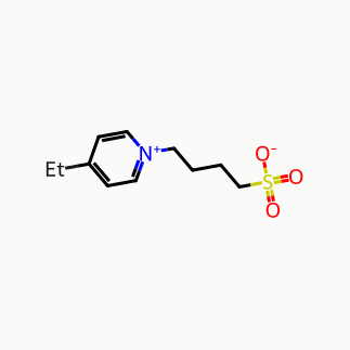 CCc1cc[n+](CCCCS(=O)(=O)[O-])cc1